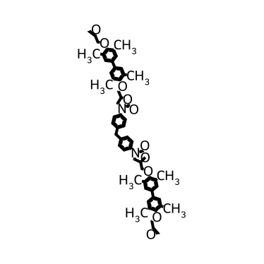 Cc1cc(-c2cc(C)c(OCC3CN(c4ccc(Cc5ccc(N6CC(COc7c(C)cc(-c8cc(C)c(OCC9CO9)c(C)c8)cc7C)OC6=O)cc5)cc4)C(=O)O3)c(C)c2)cc(C)c1OCC1CO1